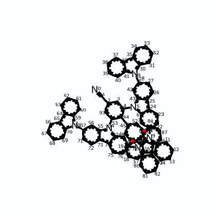 N#Cc1cc(-n2c3cc(-n4c5ccccc5c5ccccc54)ccc3c3ccc(-n4c5ccccc5c5ccccc54)cc32)c(-c2cc(F)cc(F)c2)c(-n2c3cc(-n4c5ccccc5c5ccccc54)ccc3c3ccc(-n4c5ccccc5c5ccccc54)cc32)c1